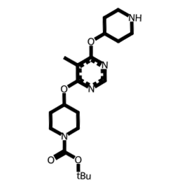 Cc1c(OC2CCNCC2)ncnc1OC1CCN(C(=O)OC(C)(C)C)CC1